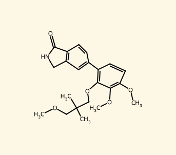 COCC(C)(C)COc1c(-c2ccc3c(c2)CNC3=O)ccc(OC)c1OC